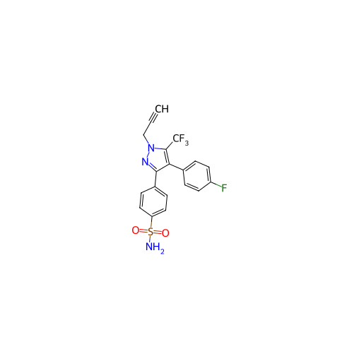 C#CCn1nc(-c2ccc(S(N)(=O)=O)cc2)c(-c2ccc(F)cc2)c1C(F)(F)F